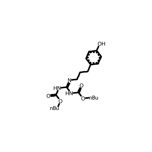 CCCCOC(=O)NC(=NCCCc1ccc(O)cc1)NC(=O)OCCCC